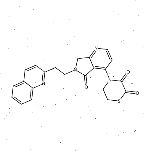 O=C1SCCN(c2ccnc3c2C(=O)N(CCc2ccc4ccccc4n2)C3)C1=O